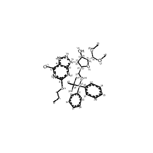 CCCSc1nc(Cl)c2nnn([C@@H]3[C@@H](O)[C@H](C(OC)OC)O[C@H]3CO[Si](c3ccccc3)(c3ccccc3)C(C)(C)C)c2n1